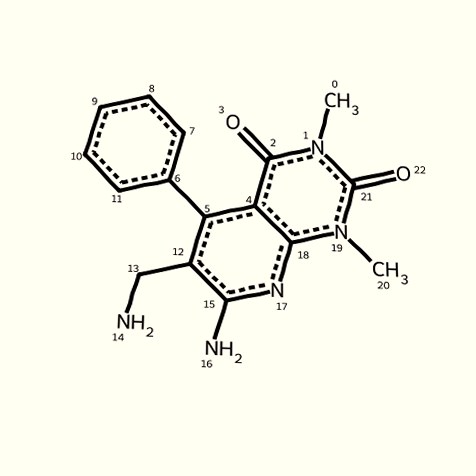 Cn1c(=O)c2c(-c3ccccc3)c(CN)c(N)nc2n(C)c1=O